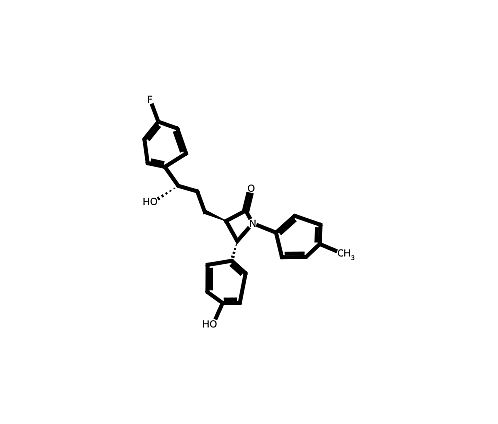 Cc1ccc(N2C(=O)[C@H](CC[C@H](O)c3ccc(F)cc3)[C@H]2c2ccc(O)cc2)cc1